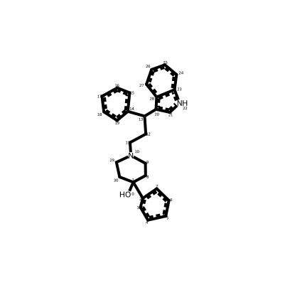 OC1(c2ccccc2)CCN(CCC(c2ccccc2)c2c[nH]c3ccccc23)CC1